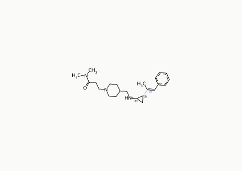 C/C(=C\c1ccccc1)[C@@H]1C[C@H]1NCC1CCN(CCC(=O)N(C)C)CC1